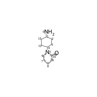 NC1CCC(n2ccccc2=O)CC1